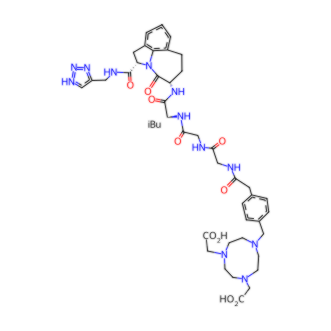 CC[C@H](C)[C@H](NC(=O)CNC(=O)CNC(=O)Cc1ccc(CN2CCN(CC(=O)O)CCN(CC(=O)O)CC2)cc1)C(=O)N[C@H]1CCc2cccc3c2N(C1=O)[C@H](C(=O)NCc1c[nH]nn1)C3